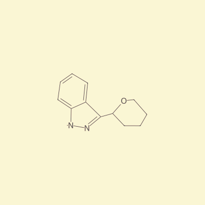 c1ccc2c(c1)[N]N=C2C1CCCCO1